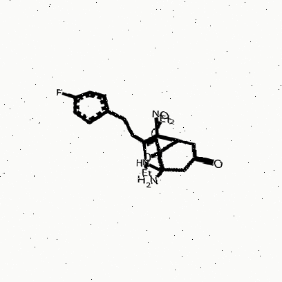 CCOC1(OCC)C2CC(=O)CC1(N)NC(CCc1ccc(F)cc1)=C2[N+](=O)[O-]